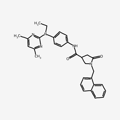 CCN(c1ccc(NC(=O)C2CC(=O)N(Cc3cccc4ccccc34)C2)cc1)c1nc(C)cc(C)n1